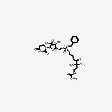 COC(=O)NCCC(C)(C)C(=O)SCCOP(=O)(NCc1ccccc1)OC[C@H]1O[C@@H](n2ccc(=O)[nH]c2=O)[C@](C)(Cl)[C@@H]1O